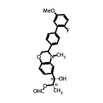 COc1ccc(F)c(-c2ccc(C3COc4ccc([C@H](O)[C@H](C)OC=O)cc4N3C)cc2)c1